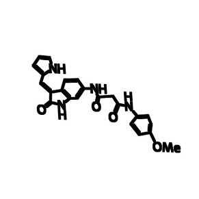 COc1ccc(NC(=O)CC(=O)Nc2ccc3c(c2)NC(=O)C3=Cc2ccc[nH]2)cc1